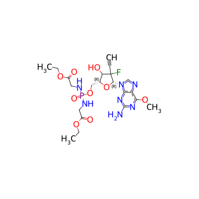 C#CC1(F)C(O)[C@@H](COP(=O)(NCC(=O)OCC)NCC(=O)OCC)O[C@H]1n1cnc2c(OC)nc(N)nc21